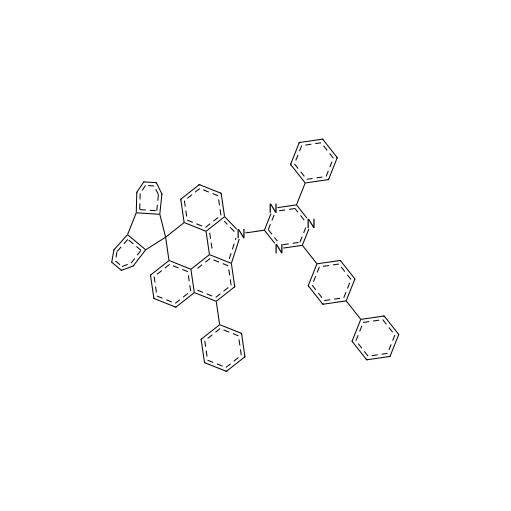 c1ccc(-c2ccc(-c3nc(-c4ccccc4)nc(-n4c5cccc6c5c5c7c(cccc7c(-c7ccccc7)cc54)C64c5ccccc5-c5ccccc54)n3)cc2)cc1